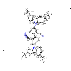 CC(C)(C)c1ccc2c(c1)c1cc(C(C)(C)C)ccc1n2-c1ccc(-c2ccc(-n3c4ccc(C(C)(C)C)cc4c4cc(C(C)(C)C)ccc43)cc2C#N)c(C#N)c1